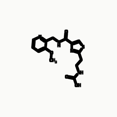 COc1cccnc1CNC(=O)c1csc(CCNC(=O)O)n1